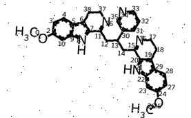 COc1ccc2c3c([nH]c2c1)C(CC(CC1=NCCc2c1[nH]c1cc(OC)ccc21)c1cccnc1)=NCC3